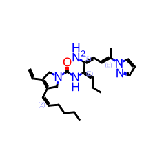 C=CC1=C(/C=C\CCCC)CN(C(=O)NC(=C\CC)/C(N)=C\C=C(/C)n2cccn2)C1